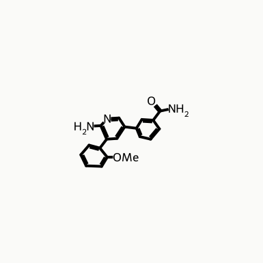 COc1ccccc1-c1cc(-c2cccc(C(N)=O)c2)cnc1N